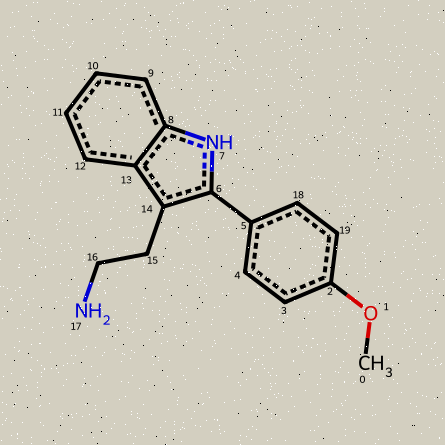 COc1ccc(-c2[nH]c3ccccc3c2CCN)cc1